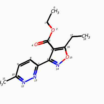 CCOC(=O)c1c(-c2ccc(C)nn2)noc1CC